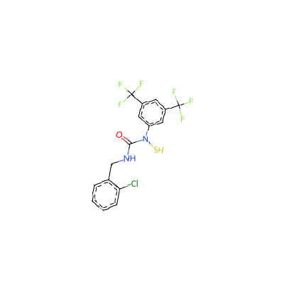 O=C(NCc1ccccc1Cl)N(S)c1cc(C(F)(F)F)cc(C(F)(F)F)c1